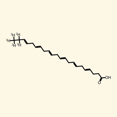 [2H]C([2H])([2H])C([2H])([2H])C=CCC=CCC=CCC=CCC=CCC=CCCC(=O)O